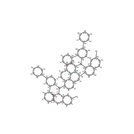 Cc1ccc2ccc(C)c(N(c3ccc(-c4ccccc4)cc3-c3ccccc3)c3ccc4ccc5c(N(c6ccc(-c7ccccc7)cc6-c6ccccc6)c6c(C)ccc7ccc(C)cc67)ccc6ccc3c4c65)c2c1